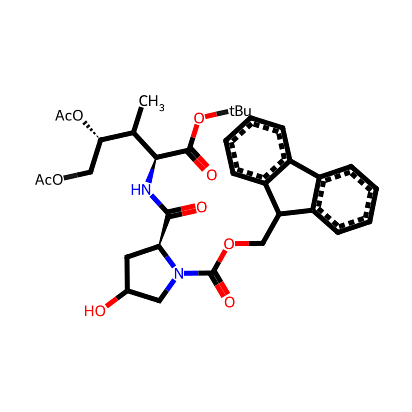 CC(=O)OC[C@H](OC(C)=O)C(C)[C@H](NC(=O)[C@@H]1CC(O)CN1C(=O)OCC1c2ccccc2-c2ccccc21)C(=O)OC(C)(C)C